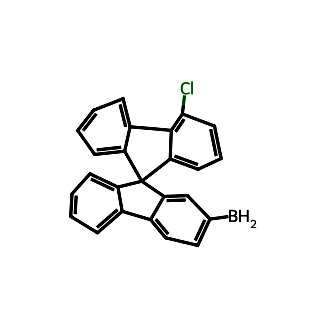 Bc1ccc2c(c1)C1(c3ccccc3-2)c2ccccc2-c2c(Cl)cccc21